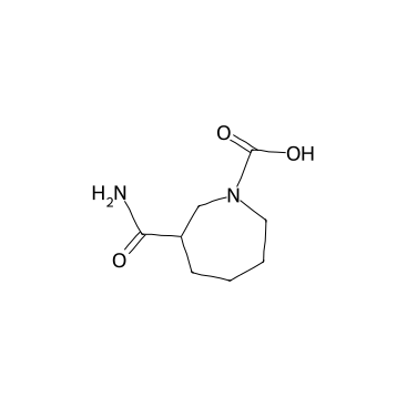 NC(=O)C1CCCCN(C(=O)O)C1